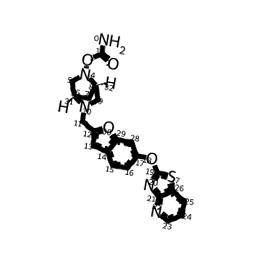 NC(=O)ON1C[C@H]2C[C@@H]1CN2Cc1cc2ccc(Oc3nc4ncccc4s3)cc2o1